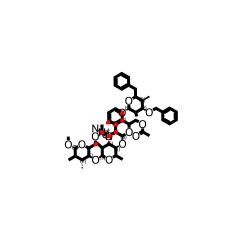 CO[C@@H]1OC(COC(C)=O)[C@@H](O[C@@H]2OC(C)[C@H](O[C@@H]3OC(COC(C)=O)[C@@H](O[C@@H]4OC(Cc5ccccc5)[C@@H](C)[C@@H](OCc5ccccc5)C4C)[C@H](C)C3N=[N+]=[N-])[C@@H](OCc3ccccc3)C2C)[C@H](C)C1C